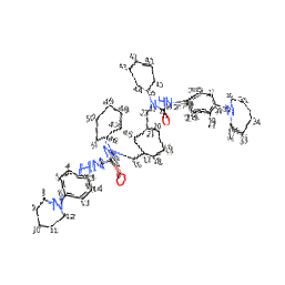 O=C(Nc1ccc(N2CCCCC2)cc1)N(CC1CCCC(CN(C(=O)Nc2ccc(N3CCCCC3)cc2)C2CCCCC2)C1)C1CCCCC1